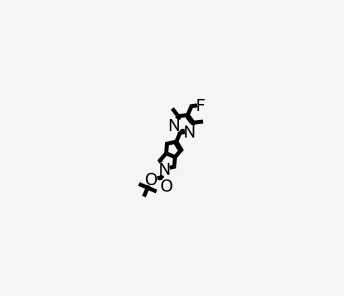 Cc1nc(C2=CC3CN(C(=O)OC(C)(C)C)CC3C2)nc(C)c1CF